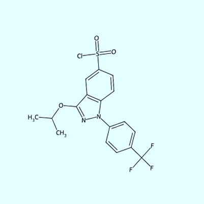 CC(C)Oc1nn(-c2ccc(C(F)(F)F)cc2)c2ccc(S(=O)(=O)Cl)cc12